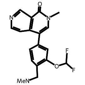 CNCc1ccc(-c2cn(C)c(=O)c3cnccc23)cc1OC(F)F